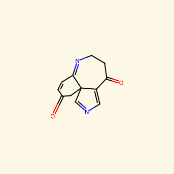 O=C1C=CC2=NCCC(=O)C3=CN=CC32C1